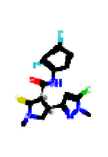 CN1C[C@H](c2cc(Cl)n(C)n2)[C@@H](C(=O)Nc2ccc(F)cc2F)C1=S